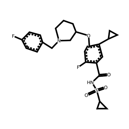 O=C(NS(=O)(=O)C1CC1)c1cc(C2CC2)c(OC2CCCN(Cc3ccc(F)cc3)C2)cc1F